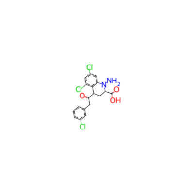 NN1c2cc(Cl)cc(Cl)c2C(C(=O)Cc2cccc(Cl)c2)CC1C(=O)O